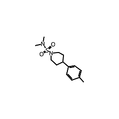 Cc1ccc(C2CCN(S(=O)(=O)N(C)C)CC2)cc1